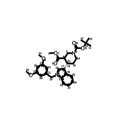 COC(=O)C1CN(C(=O)OC(C)(C)C)CC[C@@H]1c1cn(Cc2cc(OC)cc(OC)c2)c2ccccc12